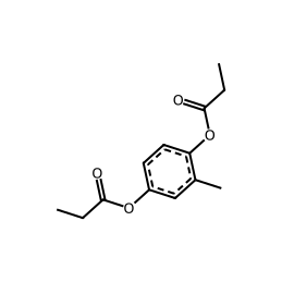 CCC(=O)Oc1ccc(OC(=O)CC)c(C)c1